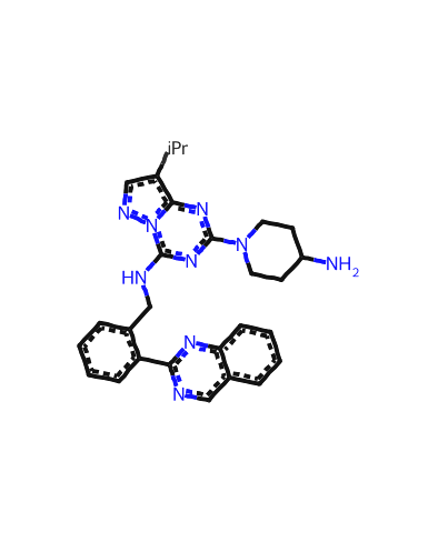 CC(C)c1cnn2c(NCc3ccccc3-c3ncc4ccccc4n3)nc(N3CCC(N)CC3)nc12